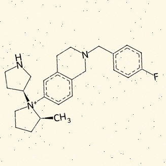 C[C@H]1CCC[N+]1(c1ccc2c(c1)CCN(Cc1ccc(F)cc1)C2)[C@H]1CCNC1